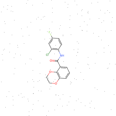 O=C(Nc1ccc(F)cc1Cl)c1cccc2c1OCCO2